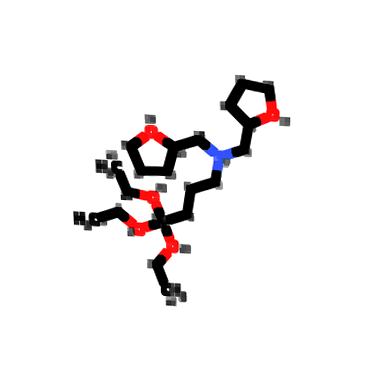 CCO[Si](CCCN(CC1CCCO1)CC1CCCO1)(OCC)OCC